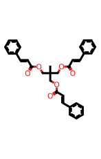 CC(COC(=O)C=Cc1ccccc1)(COC(=O)C=Cc1ccccc1)COC(=O)C=Cc1ccccc1